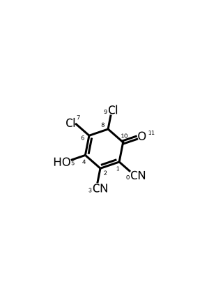 N#CC1=C(C#N)C(O)=C(Cl)C(Cl)C1=O